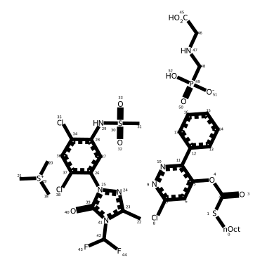 CCCCCCCCSC(=O)Oc1cc(Cl)nnc1-c1ccccc1.C[S+](C)C.Cc1nn(-c2cc(NS(C)(=O)=O)c(Cl)cc2Cl)c(=O)n1C(F)F.O=C(O)CNCP(=O)([O-])O